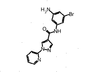 Nc1cc(Br)cc(NC(=O)c2cnn(-c3ccccn3)c2)c1